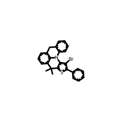 CC1(C)c2cccc3c2N(c2ccccc2C3)c2c1sc(-c1ccccc1)c2Br